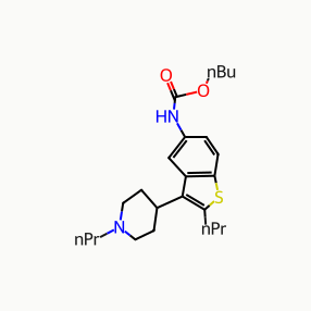 CCCCOC(=O)Nc1ccc2sc(CCC)c(C3CCN(CCC)CC3)c2c1